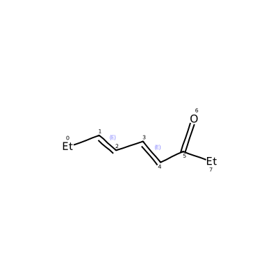 CC/C=C/C=C/C(=O)CC